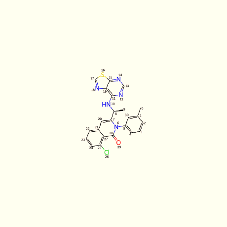 Cc1cccc(-n2c([C@H](C)Nc3ncnc4scnc34)cc3cccc(Cl)c3c2=O)c1